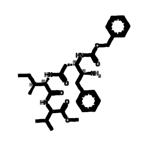 CC[C@H](C)[C@H](NC(=O)C[C@H](NC(=O)OCc1ccccc1)[C@@H](N)Cc1ccccc1)C(=O)NC(C(=O)OC)C(C)C